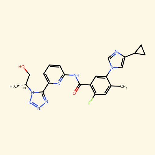 Cc1cc(F)c(C(=O)Nc2cccc(-c3nnnn3[C@H](C)CO)n2)cc1-n1cnc(C2CC2)c1